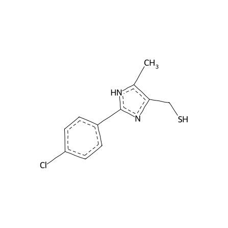 Cc1[nH]c(-c2ccc(Cl)cc2)nc1CS